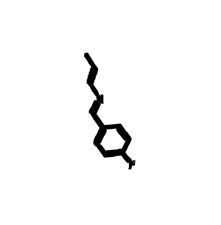 C/C=C/N=C/c1ccc(F)cc1